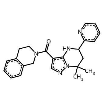 CC1(C)CC(c2ccccn2)Nc2c(C(=O)N3CCc4ccccc4C3)cnn21